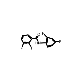 O=C(Nc1ccc(F)cc1F)c1cccc(F)c1F